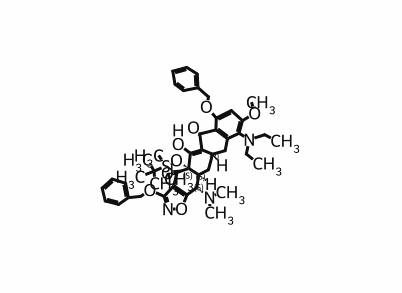 CCN(CC)c1c(OC)cc(OCc2ccccc2)c2c1C[C@H]1C[C@H]3[C@H](N(C)C)c4onc(OCc5ccccc5)c4C(=O)[C@@]3(O[Si](C)(C)C(C)(C)C)C(O)=C1C2=O